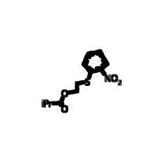 CC(C)C(=O)OCCSc1ccccc1[N+](=O)[O-]